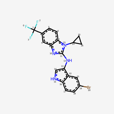 FC(F)(F)c1ccc2c(c1)nc(Nc1c[nH]c3ccc(Br)cc13)n2C1CC1